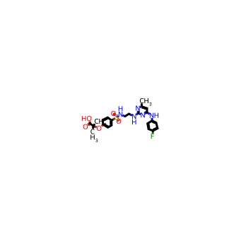 Cc1cc(Nc2ccc(F)cc2)nc(NCCNS(=O)(=O)c2ccc(OC(C)(C)C(=O)O)cc2)n1